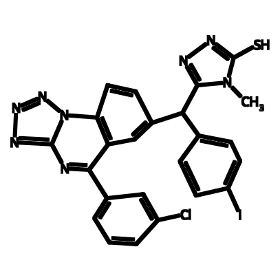 Cn1c(S)nnc1C(c1ccc(I)cc1)c1ccc2c(c1)c(-c1cccc(Cl)c1)nc1nnnn12